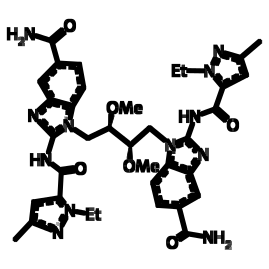 CCn1nc(C)cc1C(=O)Nc1nc2cc(C(N)=O)ccc2n1C[C@@H](OC)[C@@H](Cn1c(NC(=O)c2cc(C)nn2CC)nc2cc(C(N)=O)ccc21)OC